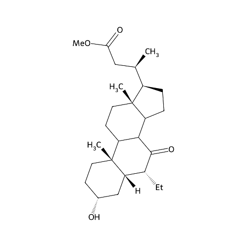 CC[C@H]1C(=O)C2C3CC[C@H]([C@H](C)CC(=O)OC)[C@@]3(C)CCC2[C@@]2(C)CC[C@@H](O)C[C@@H]12